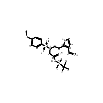 COc1ccc(S(=O)(=O)N(CCc2sccc2C=O)CC(=O)O[Si](C)(C)C(C)(C)C)cc1